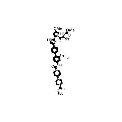 COC(=O)N[C@H](C(=O)N1C[C@@H](OC)C[C@H]1c1nc(-c2ccc(-c3ccc(NC(=O)N4CCC(N5CCN(C(=O)OC(C)(C)C)CC5)CC4)cc3OC(F)(F)F)cc2)c[nH]1)C(C)C